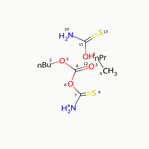 CCCC.CCCCOC(=O)OC(N)=S.NC(O)=S